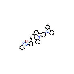 c1ccc(-c2cccc3c2oc2nc4ccccc4n23)c(-c2ccccc2-n2c3ccccc3c3cc(-n4c5ccccc5c5ccccc54)ccc32)c1